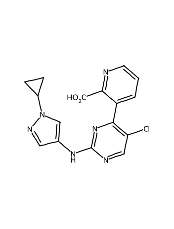 O=C(O)c1ncccc1-c1nc(Nc2cnn(C3CC3)c2)ncc1Cl